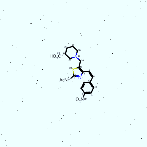 CC(=O)Nc1nc(/C=C\c2ccc([N+](=O)[O-])cc2)c(CN2CCC[C@@H](C(=O)O)C2)s1